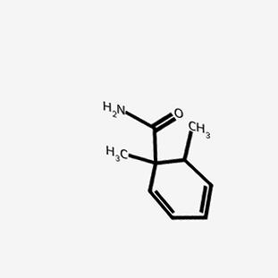 CC1C=CC=CC1(C)C(N)=O